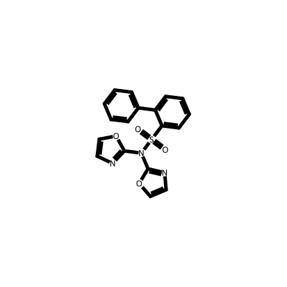 O=S(=O)(c1ccccc1-c1ccccc1)N(c1ncco1)c1ncco1